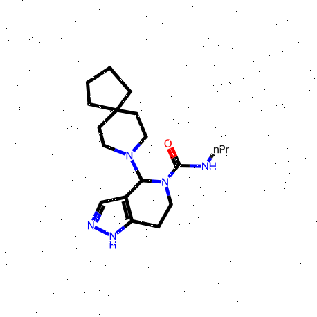 CCCNC(=O)N1CCc2[nH]ncc2C1N1CCC2(CCCC2)CC1